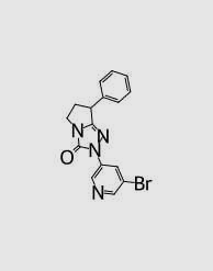 O=c1n(-c2cncc(Br)c2)nc2n1CCC2c1ccccc1